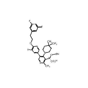 Cc1ncc(-c2cnc(OCCc3cc(F)cc(F)c3)c(F)c2)c(N2CCC(C)(C)CC2)c1[C@H](OC(C)(C)C)C(=O)O